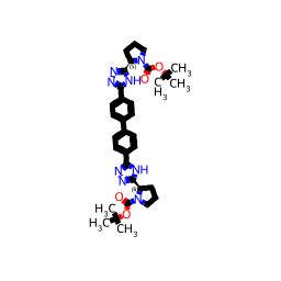 CC(C)(C)OC(=O)N1CCC[C@@H]1c1nnc(-c2ccc(-c3ccc(-c4nnc([C@@H]5CCCN5C(=O)OC(C)(C)C)[nH]4)cc3)cc2)[nH]1